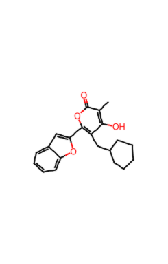 Cc1c(O)c(CC2CCCCC2)c(-c2cc3ccccc3o2)oc1=O